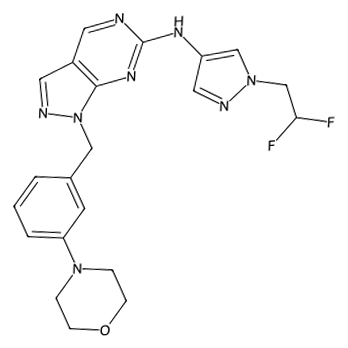 FC(F)Cn1cc(Nc2ncc3cnn(Cc4cccc(N5CCOCC5)c4)c3n2)cn1